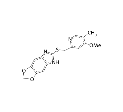 COc1cc(CSc2nc3cc4c(cc3[nH]2)OCO4)ncc1C